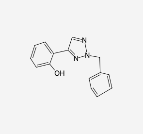 Oc1ccccc1-c1cnn(Cc2ccccc2)n1